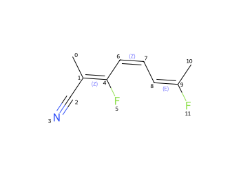 C\C(C#N)=C(F)/C=C\C=C(/C)F